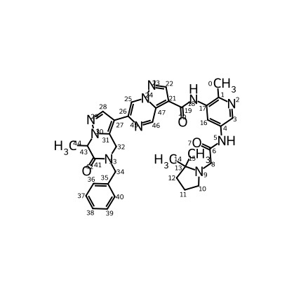 Cc1ncc(NC(=O)CN2CCCC2(C)C)cc1NC(=O)c1cnn2cc(-c3cnn4c3CN(Cc3ccccc3)C(=O)C4C)ncc12